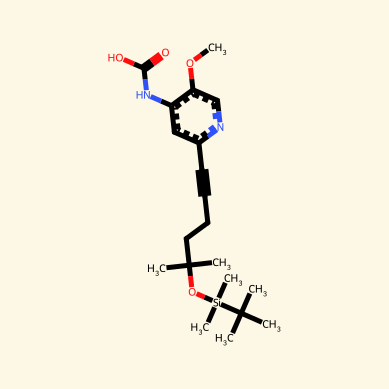 COc1cnc(C#CCCC(C)(C)O[Si](C)(C)C(C)(C)C)cc1NC(=O)O